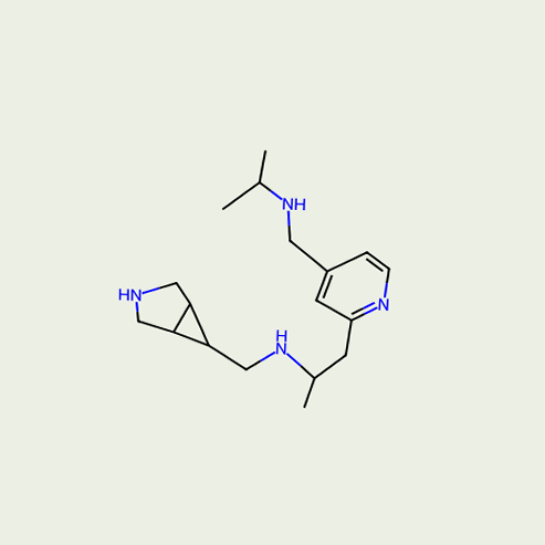 CC(C)NCc1ccnc(CC(C)NCC2C3CNCC32)c1